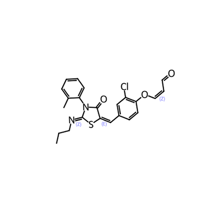 CCC/N=C1\S/C(=C/c2ccc(O/C=C\C=O)c(Cl)c2)C(=O)N1c1ccccc1C